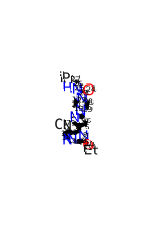 C=C(/N=C\C(=C/C)c1nc(OCC)cn2ncc(C#N)c12)N1CCN(C(=O)NCC(C)C)CC1